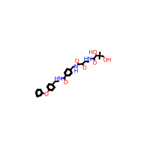 CC(C)(CO)C(O)C(=O)NCCC(=O)C(=O)NCc1ccc(C(=O)NCCc2ccc(Oc3ccccc3)cc2)cc1